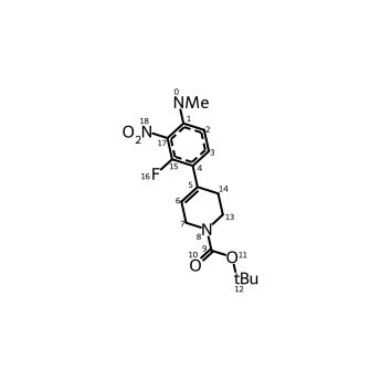 CNc1ccc(C2=CCN(C(=O)OC(C)(C)C)CC2)c(F)c1[N+](=O)[O-]